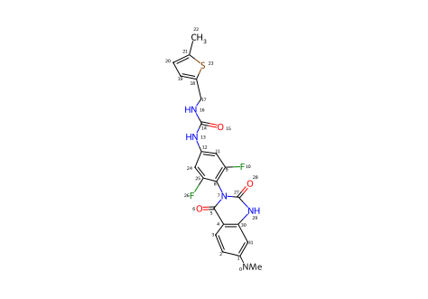 CNc1ccc2c(=O)n(-c3c(F)cc(NC(=O)NCc4ccc(C)s4)cc3F)c(=O)[nH]c2c1